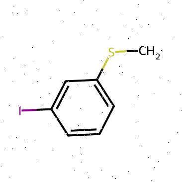 [CH2]Sc1cccc(I)c1